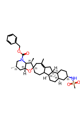 CC1=C2C[C@H]3[C@@H](CC[C@@H]4C[C@H](NS(C)(=O)=O)CC[C@@]43C)C2CC[C@@]2(C1)O[C@@H]1C[C@H](C)CN(C(=O)OCc3ccccc3)C1[C@H]2C